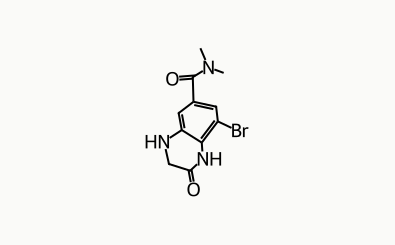 CN(C)C(=O)c1cc(Br)c2c(c1)NCC(=O)N2